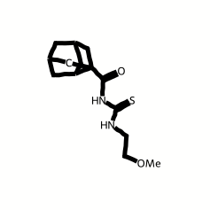 COCCNC(=S)NC(=O)C12CC3CC(CC1C3)C2